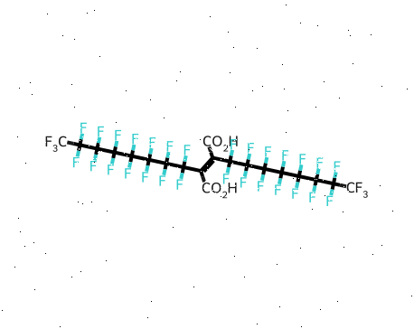 O=C(O)C(=C(C(=O)O)C(F)(F)C(F)(F)C(F)(F)C(F)(F)C(F)(F)C(F)(F)C(F)(F)C(F)(F)F)C(F)(F)C(F)(F)C(F)(F)C(F)(F)C(F)(F)C(F)(F)C(F)(F)C(F)(F)F